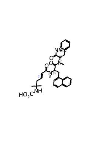 CNC(=O)[C@@H](Cc1ccccc1)N(C)C(=O)[C@@H](Cc1cccc2ccccc12)N(C)C(=O)/C=C/CC(C)(C)NC(=O)O